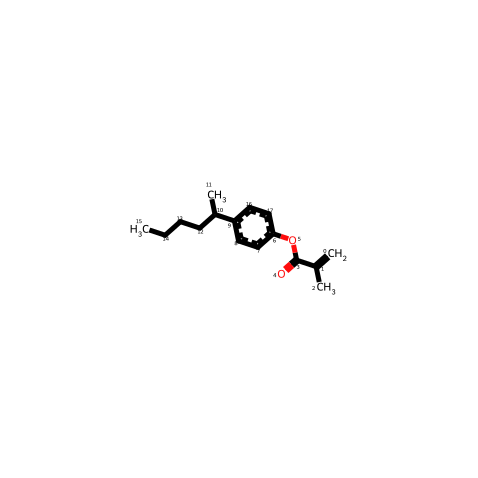 C=C(C)C(=O)Oc1ccc(C(C)CCCC)cc1